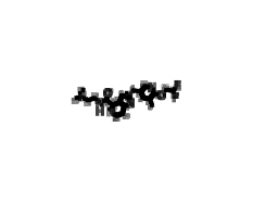 Cc1cc(Cn2cc3c(C(=O)NCCN(C)C)nccc3n2)cnc1OCC(F)F